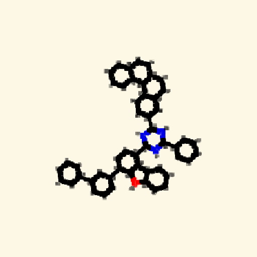 c1ccc(-c2cccc(-c3ccc(-c4nc(-c5ccccc5)nc(-c5ccc6c(ccc7ccc8ccccc8c76)c5)n4)c4c3oc3ccccc34)c2)cc1